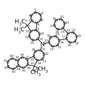 CC1(C)c2ccccc2-c2cc(N(c3ccc(-c4ccccc4-c4ccccc4)cc3)c3ccc4c(c3)-c3cc5ccccc5cc3C4(C)C)ccc21